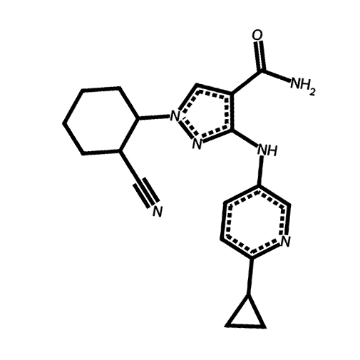 N#CC1CCCCC1n1cc(C(N)=O)c(Nc2ccc(C3CC3)nc2)n1